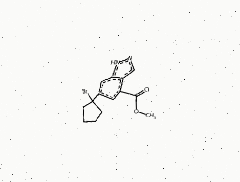 COC(=O)c1cc(C2(Br)CCCC2)cc2[nH]ncc12